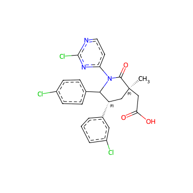 C[C@]1(CC(=O)O)C[C@H](c2cccc(Cl)c2)C(c2ccc(Cl)cc2)N(c2ccnc(Cl)n2)C1=O